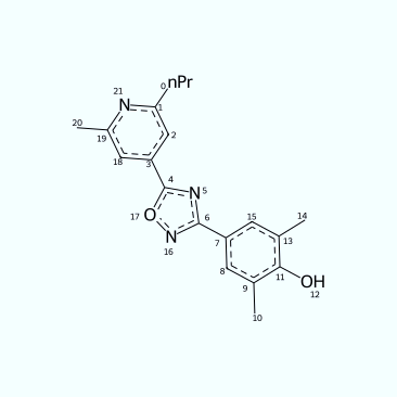 CCCc1cc(-c2nc(-c3cc(C)c(O)c(C)c3)no2)cc(C)n1